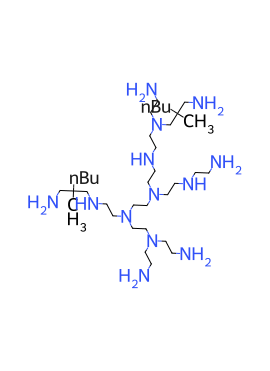 CCCCC(C)(CN)CNCCN(CCN(CCN)CCN)CCN(CCNCCN)CCNCCN(CCN)CC(C)(CN)CCCC